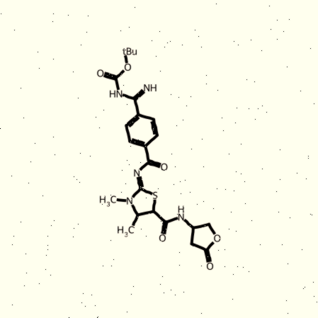 CC1C(C(=O)NC2COC(=O)C2)SC(=NC(=O)c2ccc(C(=N)NC(=O)OC(C)(C)C)cc2)N1C